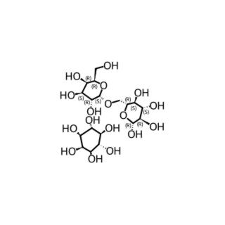 OC[C@H]1O[C@H](OC[C@H]2O[C@@H](O)[C@H](O)[C@@H](O)[C@@H]2O)[C@H](O)[C@@H](O)[C@H]1O.O[C@H]1[C@H](O)[C@@H](O)[C@H](O)[C@@H](O)[C@H]1O